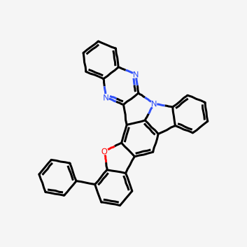 c1ccc(-c2cccc3c2oc2c3cc3c4ccccc4n4c5nc6ccccc6nc5c2c34)cc1